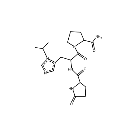 CC(C)n1cncc1CC(NC(=O)C1CCC(=O)N1)C(=O)N1CCCC1C(N)=O